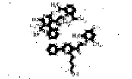 CC(C)c1cccc(C(C)C)c1N=CC(=O)c1c(Cl)nc(O)c(C(C)(C)C)c1-c1cccc[c]1[Cu][Cl].Cc1cc(C)c(N=CC(=O)c2ccc(-c3ccccc3)nc2CCCCO)c(C)c1.[Fe]